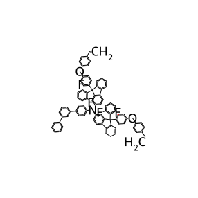 C=Cc1ccc(Oc2ccc(C3(c4c(F)cccc4F)C4=C(CCC=C4)c4ccc(N(c5ccc(-c6cccc(-c7ccccc7)c6)cc5)c5ccc6c(c5)C(c5ccc(Oc7ccc(C=C)cc7)cc5)(c5c(F)cccc5F)c5ccccc5-6)cc43)cc2)cc1